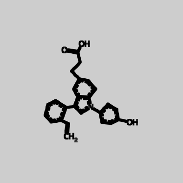 C=Cc1ccccc1-c1cn(-c2ccc(O)cc2)c2ccc(CCC(=O)O)cc12